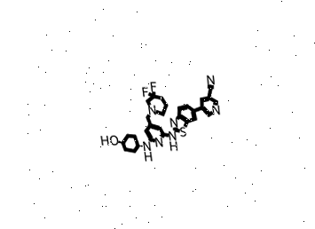 N#Cc1cncc(-c2ccc3nc(Nc4cc(CN5CCCC(F)(F)C5)cc(N[C@H]5CC[C@H](O)CC5)n4)sc3c2)c1